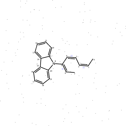 C\C=C/C=C\C(=C/C)n1c2ccccc2c2ccccc21